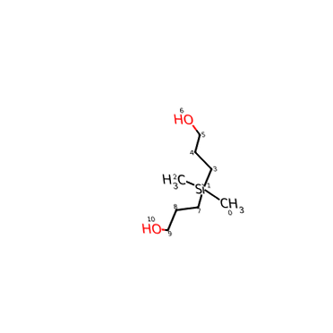 C[Si](C)(CCCO)CCCO